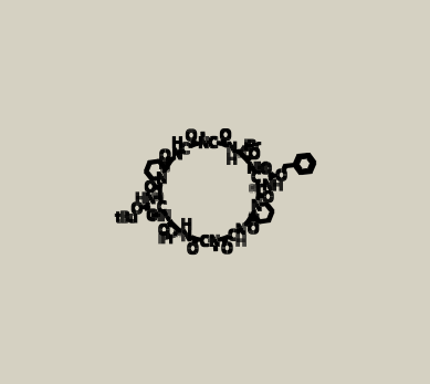 CC(C)[C@@H]1NC(=O)CN(C)C(=O)CNC(=O)[C@@H]2CCCCN2C(=O)[C@H](NC(=O)OCc2ccccc2)CNC(=O)[C@H](C(C)C)NC(=O)CN(C)C(=O)CNC(=O)[C@@H]2CCCCN2C(=O)[C@H](NC(=O)OC(C)(C)C)CNC1=O